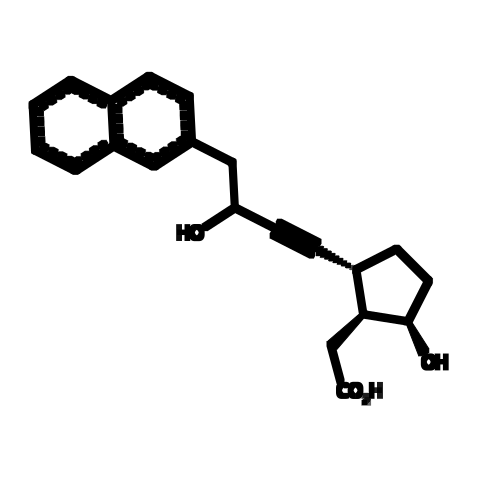 O=C(O)C[C@@H]1[C@H](O)CC[C@H]1C#CC(O)Cc1ccc2ccccc2c1